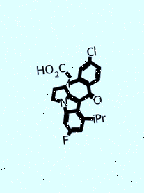 CC(C)c1cc(F)cc2c1c(C(=O)c1ccc(Cl)cc1I)c1n2CC[C@@H]1CC(=O)O